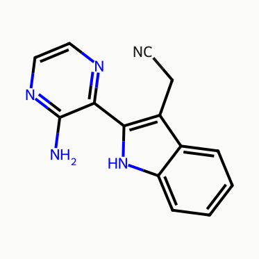 N#CCc1c(-c2nccnc2N)[nH]c2ccccc12